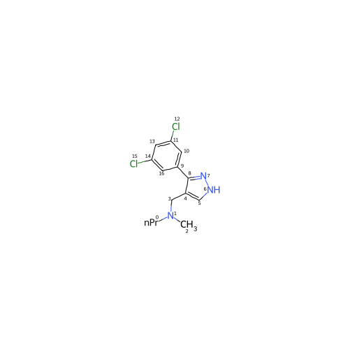 CCCN(C)Cc1c[nH]nc1-c1cc(Cl)cc(Cl)c1